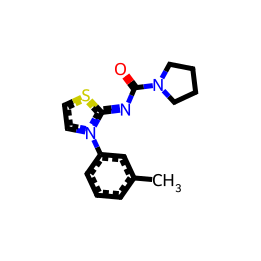 Cc1cccc(-n2ccs/c2=N\C(=O)N2CCCC2)c1